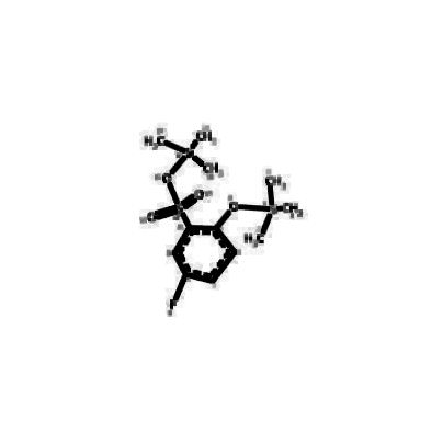 C[Si](C)(C)Oc1ccc(F)cc1S(=O)(=O)O[Si](C)(C)C